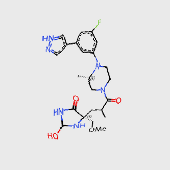 COC[C@]1(CC(C)C(=O)N2CCN(c3cc(F)cc(-c4cn[nH]c4)c3)[C@@H](C)C2)NC(O)NC1=O